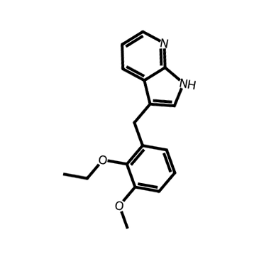 CCOc1c(Cc2c[nH]c3ncccc23)cccc1OC